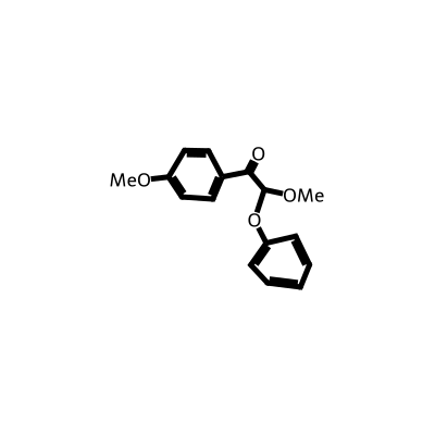 COc1ccc(C(=O)C(OC)Oc2ccccc2)cc1